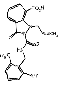 C=CCn1c2c(C(=O)O)cccc2c(=O)n1C(=O)NCc1c(C)cccc1C(C)C